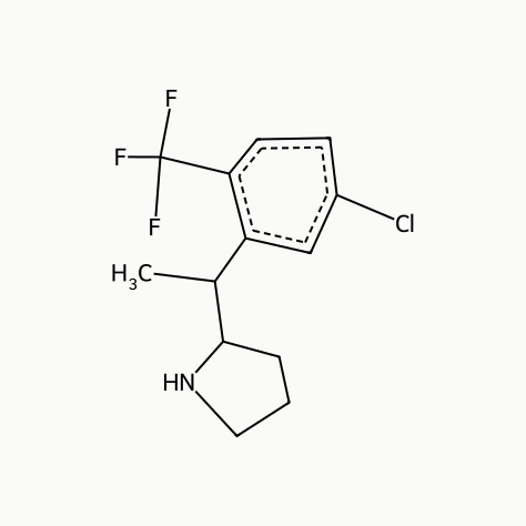 CC(c1cc(Cl)ccc1C(F)(F)F)C1CCCN1